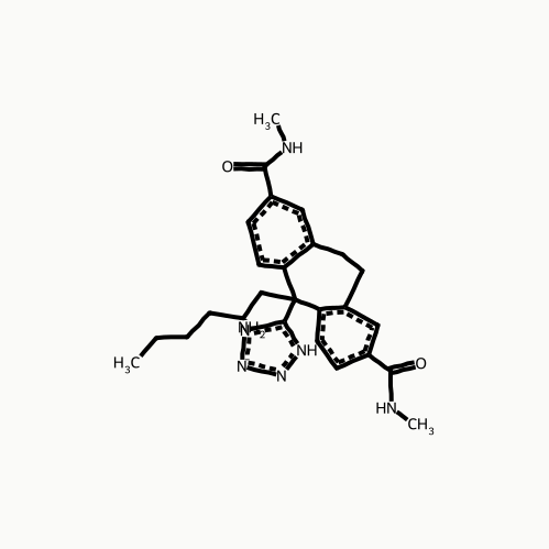 CCCC[C@H](N)CC1(c2nnn[nH]2)c2ccc(C(=O)NC)cc2CCc2cc(C(=O)NC)ccc21